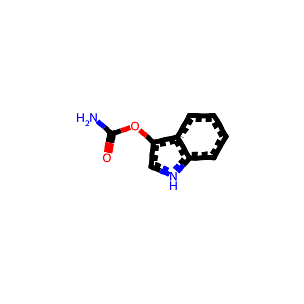 NC(=O)Oc1c[nH]c2ccccc12